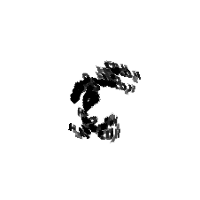 NCCN(CCN(CCN)CC(=O)NC[C@H]1CC[C@H](C(=O)N[C@@H](Cc2ccc3ccccc3c2)C(=O)NCCCC[C@H](NC(=O)N[C@@H](CCC(=O)O)C(=O)O)C(=O)O)CC1)CC(=O)O